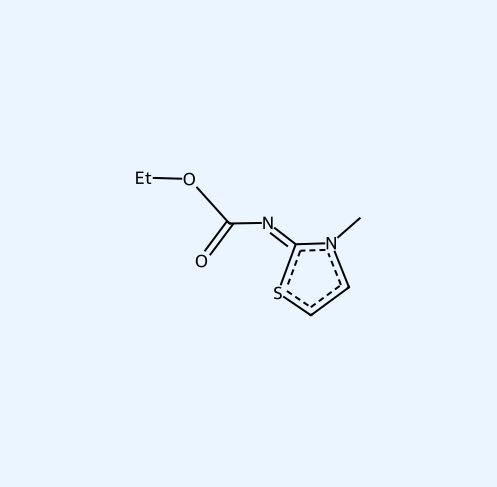 CCOC(=O)/N=c1\sccn1C